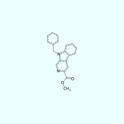 COC(=O)c1cc2c3ccccc3n(Cc3ccccc3)c2cn1